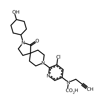 C#CCN(C(=O)O)c1cnc(N2CCC3(CC2)CCN(C2CCC(O)CC2)C3=O)c(Cl)c1